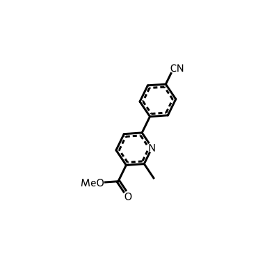 COC(=O)c1ccc(-c2ccc(C#N)cc2)nc1C